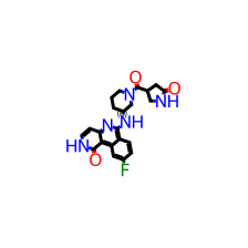 O=C1CC(C(=O)N2CCC[C@@H](Nc3nc4cc[nH]c(=O)c4c4cc(F)ccc34)C2)CN1